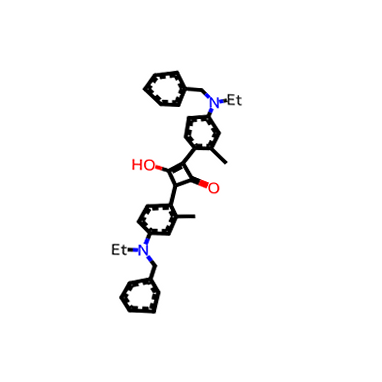 CCN(Cc1ccccc1)c1ccc(C2=C(O)C(c3ccc(N(CC)Cc4ccccc4)cc3C)C2=O)c(C)c1